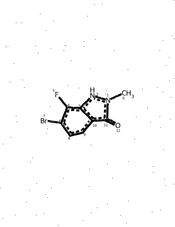 Cn1[nH]c2c(F)c(Br)ccc2c1=O